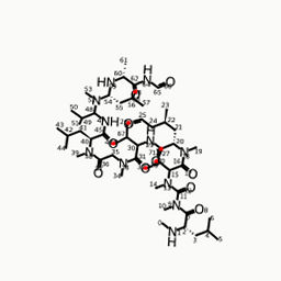 CN[C@@H](CC(C)C)C(=O)N(C)C(=O)N(C)C(C(=O)N(C)[C@@H](C[C@H](C)CC=O)C(=O)NC(C(=O)N(C)CC(=O)N(C)[C@@H](CC(C)C)C(=O)NC(C(C)C)N(C)[C@@H](CC(C)C)N[C@H](C)C(=O)NC=O)C(C)C)C(C)C